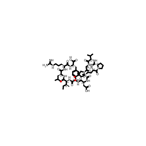 CC[C@H](C)[C@H](NC(=O)[C@H](C)NC(=O)[C@H](CC(=O)O)NC(=O)[C@@H]1CCCN1C(=O)CNC(=O)[C@@H](NC(=O)[C@@H]1CCCN1C(=O)[C@@H](N)CCSC)C(C)C)C(=O)N[C@@H](CC(C)C)C(=O)N[C@@H](CCCNC(=N)N)C(=O)N[C@@H](Cc1ccc(O)cc1)C(=O)O